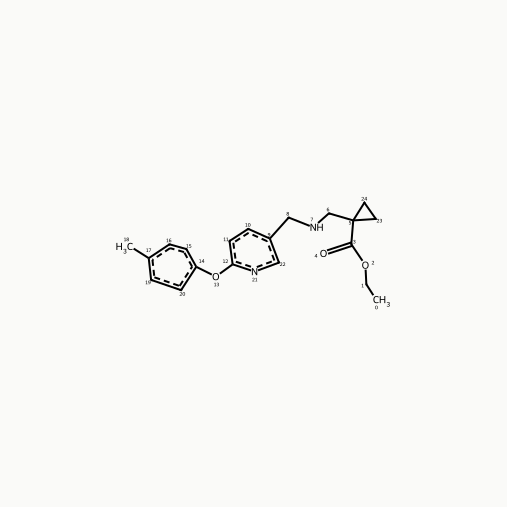 CCOC(=O)C1(CNCc2ccc(Oc3ccc(C)cc3)nc2)CC1